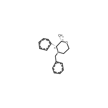 C[C@@H]1OCCN(Cc2ccccc2)[C@@H]1c1ccccc1